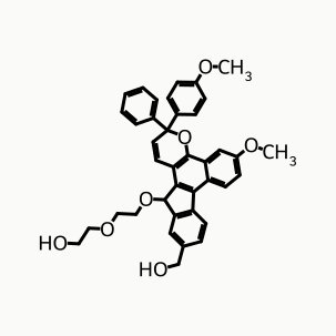 COc1ccc(C2(c3ccccc3)C=Cc3c4c(c5ccc(OC)cc5c3O2)-c2ccc(CO)cc2C4OCCOCCO)cc1